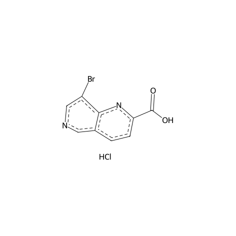 Cl.O=C(O)c1ccc2cncc(Br)c2n1